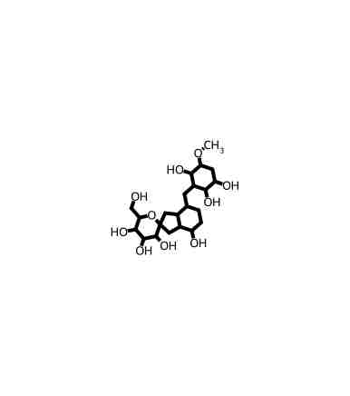 COC1CC(O)C(O)C(CC2CCC(O)C3CC4(CC23)OC(CO)C(O)C(O)C4O)C1O